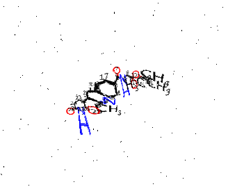 Cc1nc2cc(C(=O)NCC(=O)OC(C)(C)C)ccc2cc1C1CCC(=O)NC1=O